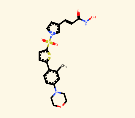 Cc1cc(N2CCOCC2)ccc1-c1ccc(S(=O)(=O)n2ccc(C=CC(=O)NO)c2)s1